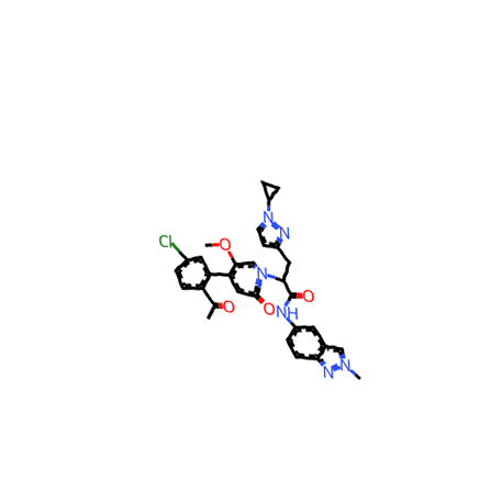 COc1cn(C(Cc2ccn(C3CC3)n2)C(=O)Nc2ccc3nn(C)cc3c2)c(=O)cc1-c1cc(Cl)ccc1C(C)=O